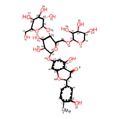 COc1ccc(C2CC(=O)c3c(O)cc(O[C@@H]4OC(CO[C@@H]5OC[C@H](O)[C@H](O)C5O)[C@@H](O[C@H]5OC(CO)[C@@H](O)C(O)[C@@H]5O)C(O)[C@@H]4O)cc3O2)cc1O